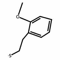 COc1ccccc1CC[S]